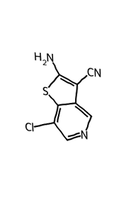 N#Cc1c(N)sc2c(Cl)cncc12